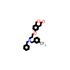 O=C1Cc2cc(OCCCN(Cc3ccccc3)Cc3cccc(C(F)(F)F)c3)ccc2CO1